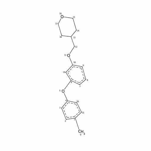 Cc1ccc(Oc2cccc(OCC3CCOCC3)c2)cc1